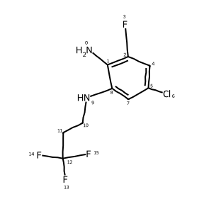 Nc1c(F)cc(Cl)cc1NCCC(F)(F)F